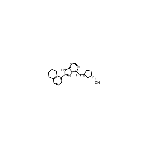 OC[C@H]1CC[C@H](Nc2ncnc3[nH]c(-c4cccc5c4CCCC5)nc23)C1